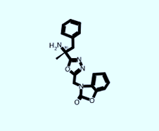 C[C@@](N)(Cc1ccccc1)c1nnc(Cn2c(=O)oc3ccccc32)o1